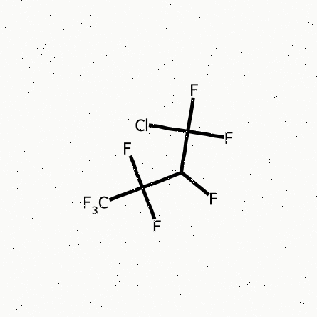 FC(C(F)(F)Cl)C(F)(F)C(F)(F)F